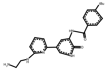 CC(C)(C)c1ccc(C(=O)Nc2cc(-c3cccc(NCCN)n3)c[nH]c2=O)cc1